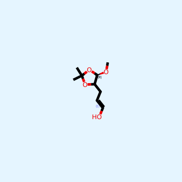 CO[C@@H]1OC(C)(C)OC1C/C=C/O